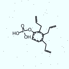 C=CCc1ccc(OP(=O)(O)O)c(CC=C)c1CC=C